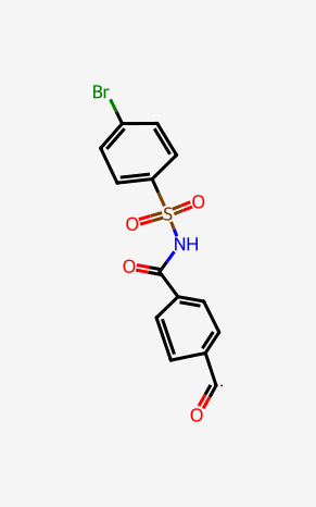 O=[C]c1ccc(C(=O)NS(=O)(=O)c2ccc(Br)cc2)cc1